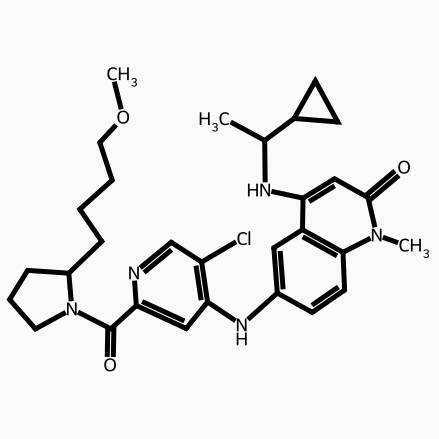 COCCCCC1CCCN1C(=O)c1cc(Nc2ccc3c(c2)c(NC(C)C2CC2)cc(=O)n3C)c(Cl)cn1